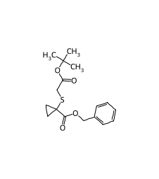 CC(C)(C)OC(=O)CSC1(C(=O)OCc2ccccc2)CC1